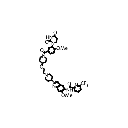 COc1cc2nn(C3CCN(CCOC4CCN(C(=O)c5ccc(OC)c(N6CCC(=O)NC6=O)c5)CC4)CC3)cc2cc1NC(=O)c1cccc(C(F)(F)F)n1